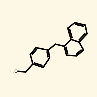 CCc1ccc(Cc2cc[c]c3ccccc23)cc1